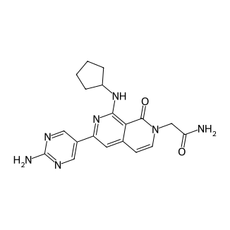 NC(=O)Cn1ccc2cc(-c3cnc(N)nc3)nc(NC3CCCC3)c2c1=O